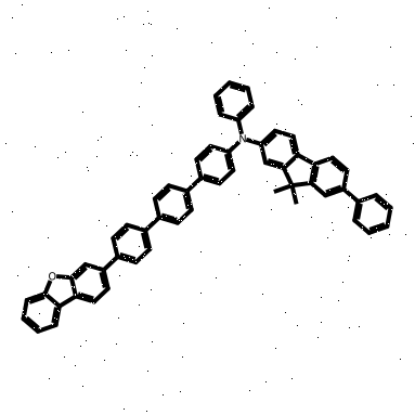 CC1(C)c2cc(-c3ccccc3)ccc2-c2ccc(N(c3ccccc3)c3ccc(-c4ccc(-c5ccc(-c6ccc7c(c6)oc6ccccc67)cc5)cc4)cc3)cc21